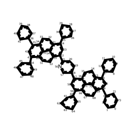 c1ccc(-c2cc(-c3ccccc3)c3ccc4c(-c5ccc(-c6cc(-c7ccccc7)c7ccc8c(-c9ccccc9)cc(-c9ccccc9)c9ccc6c7c89)nc5)cc(-c5ccccc5)c5ccc2c3c54)cc1